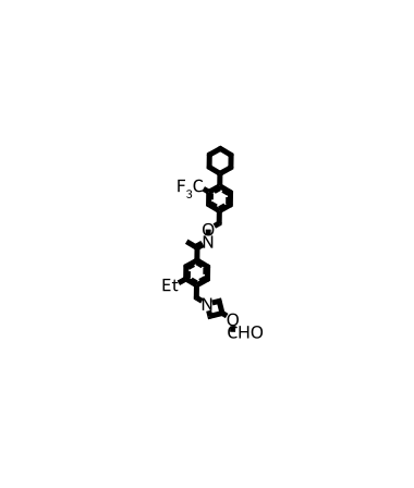 CCc1cc(/C(C)=N/OCc2ccc(C3CCCCC3)c(C(F)(F)F)c2)ccc1CN1CC(OC=O)C1